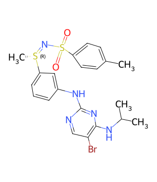 Cc1ccc(S(=O)(=O)N=[S@@](C)c2cccc(Nc3ncc(Br)c(NC(C)C)n3)c2)cc1